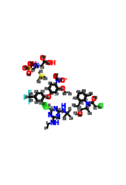 CCNc1nc(Cl)nc(NC(C)(C)C)n1.CCOc1cc(Oc2ccc(C(F)(F)F)cc2Cl)ccc1[N+](=O)[O-].CCc1cccc(C)c1N(C(=O)CCl)C(C)COC.C[S+](C)C.O=C(O)CNCP(=O)([O-])O